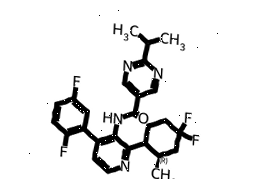 CC(C)c1ncc(C(=O)Nc2c(-c3cc(F)ccc3F)ccnc2C2CCC(F)(F)C[C@H]2C)cn1